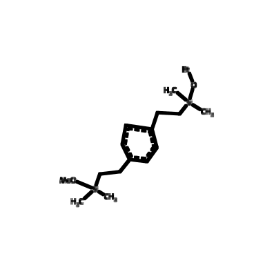 CCO[Si](C)(C)CCc1ccc(CC[Si](C)(C)OC)cc1